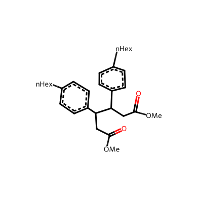 CCCCCCc1ccc(C(CC(=O)OC)C(CC(=O)OC)c2ccc(CCCCCC)cc2)cc1